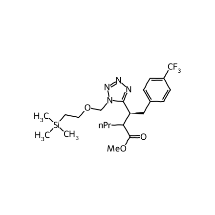 CCCC(C(=O)OC)[C@H](Cc1ccc(C(F)(F)F)cc1)c1nnnn1COCC[Si](C)(C)C